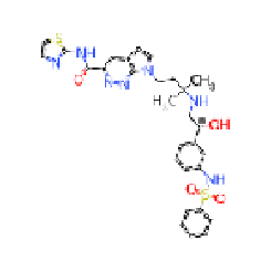 CC(C)(CCn1ccc2cc(C(=O)Nc3nccs3)nnc21)NC[C@H](O)c1cccc(NS(=O)(=O)c2ccccc2)c1